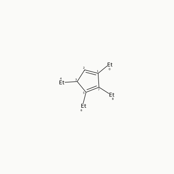 CCC1=CC(CC)C(CC)=C1CC